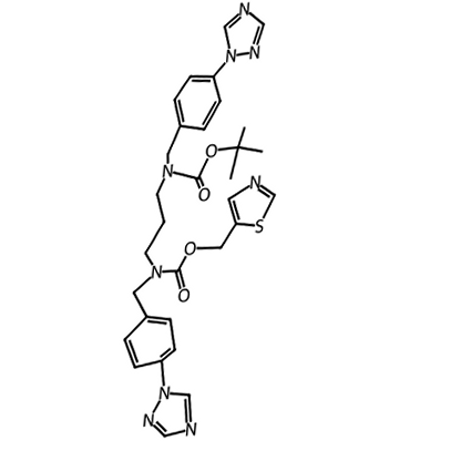 CC(C)(C)OC(=O)N(CCCN(Cc1ccc(-n2cncn2)cc1)C(=O)OCc1cncs1)Cc1ccc(-n2cncn2)cc1